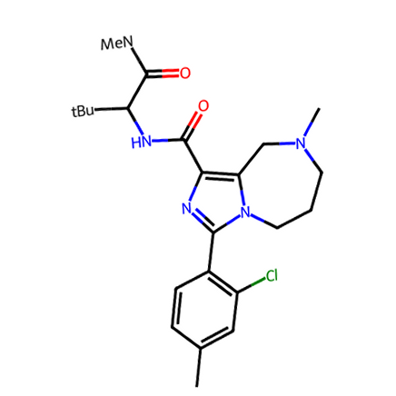 CNC(=O)C(NC(=O)c1nc(-c2ccc(C)cc2Cl)n2c1CN(C)CCC2)C(C)(C)C